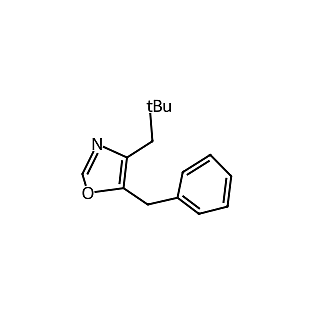 CC(C)(C)Cc1ncoc1Cc1ccccc1